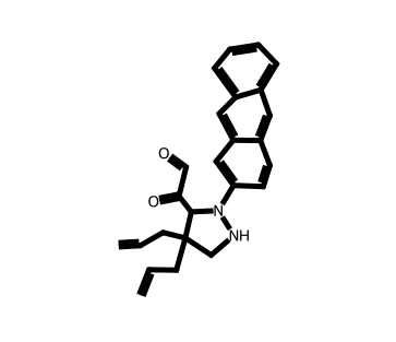 C=CCC1(CC=C)CNN(c2ccc3cc4ccccc4cc3c2)C1C(=O)C=O